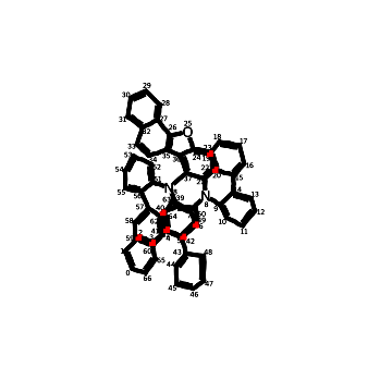 c1ccc(-c2ccc(N(c3ccccc3-c3ccccc3)c3ccc4oc5c6ccccc6ccc5c4c3N(c3ccc(-c4ccccc4)cc3)c3ccccc3-c3ccccc3)cc2)cc1